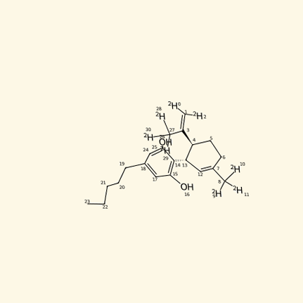 [2H]C([2H])=C([C@H]1CCC(C([2H])([2H])[2H])=C[C@@H]1c1c(O)cc(CCCCC)cc1O)C([2H])([2H])[2H]